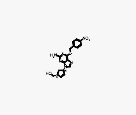 Nc1nc(SCc2ccc([N+](=O)[O-])cc2)c2ncn([C@H]3C=C[C@@H](CO)C3)c2n1